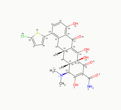 CN(C)[C@@H]1C(O)=C(C(N)=O)C(=O)[C@@]2(O)C(O)=C3C(=O)c4c(O)ccc(-c5ccc(Cl)s5)c4C[C@H]3C[C@@H]12